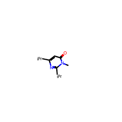 CC(C)c1cc(=O)n(C)c(C(C)C)n1